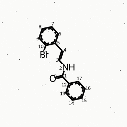 O=C(NC=Cc1ccccc1Br)c1ccccc1